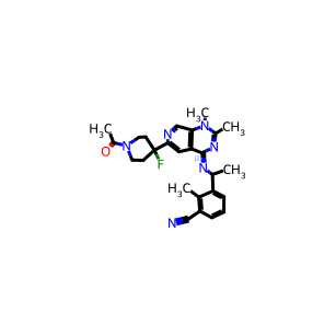 CC(=O)N1CCC(F)(c2cc3/c(=N/C(C)c4cccc(C#N)c4C)nc(C)n(C)c3cn2)CC1